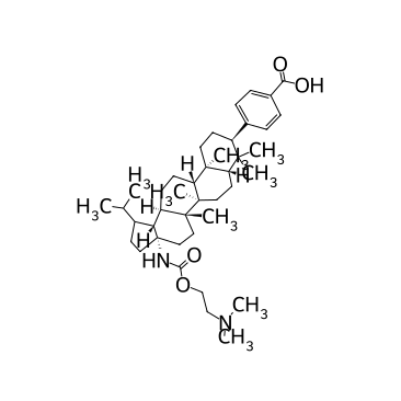 CC(C)C1CC[C@]2(NC(=O)OCCN(C)C)CC[C@]3(C)[C@H](CC[C@@H]4[C@@]5(C)CC[C@@H](c6ccc(C(=O)O)cc6)C(C)(C)[C@@H]5CC[C@]43C)[C@@H]12